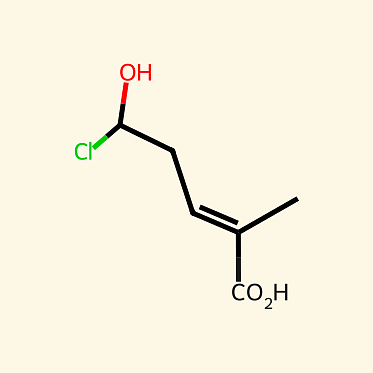 CC(=CCC(O)Cl)C(=O)O